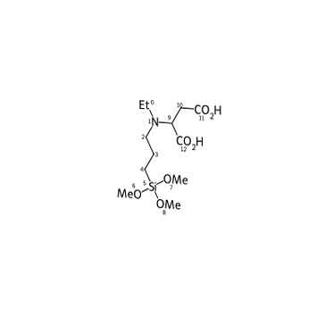 CCN(CCC[Si](OC)(OC)OC)C(CC(=O)O)C(=O)O